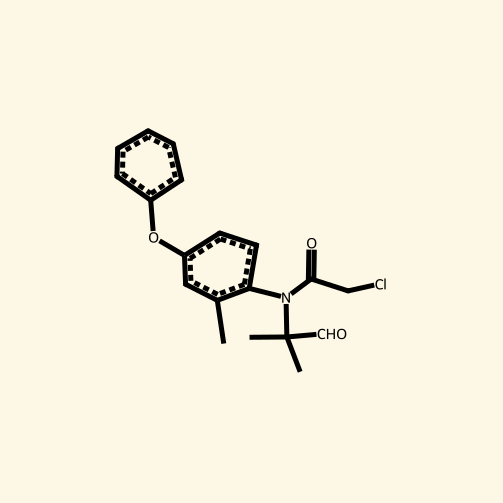 Cc1cc(Oc2ccccc2)ccc1N(C(=O)CCl)C(C)(C)C=O